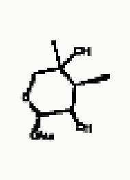 CO[C@H]1OCC(C)(O)[C@@H](C)C1O